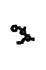 Cc1nc(-c2sc(Cl)cc2/C=N/O)ccc1OC1CCCCC1